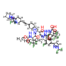 COC(=O)NC(C(=O)NC(Cc1ccc(C#Cc2ccc(N3CC4CCC(C3)N4CC(F)F)nc2)cc1)C(O)CN(Cc1c(F)cc(-c2ccn(C(F)F)n2)cc1F)NC(=O)C(NC(=O)O)C(C)(C)C(F)(F)F)C(C)(C)C(F)(F)F